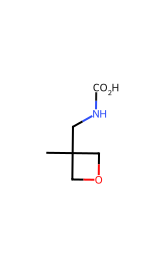 CC1(CNC(=O)O)COC1